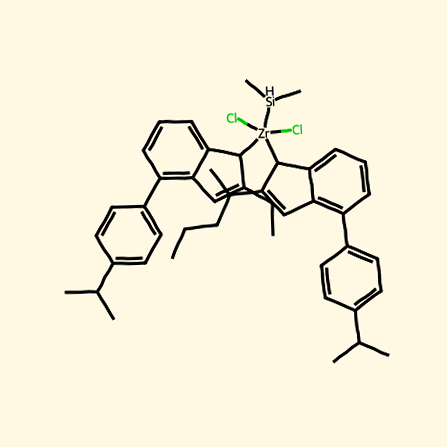 CCCC(C)C1=Cc2c(-c3ccc(C(C)C)cc3)cccc2[CH]1[Zr]([Cl])([Cl])([CH]1C(CC)=Cc2c(-c3ccc(C(C)C)cc3)cccc21)[SiH](C)C